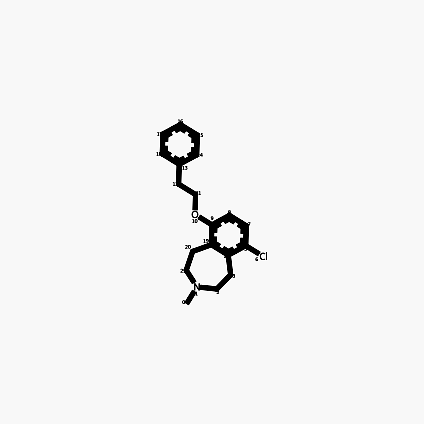 CN1CCc2c(Cl)ccc(OCCc3ccccc3)c2CC1